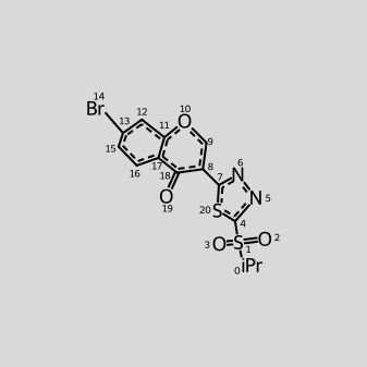 CC(C)S(=O)(=O)c1nnc(-c2coc3cc(Br)ccc3c2=O)s1